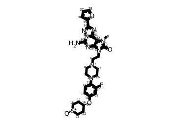 Cn1c(=O)n(CCN2CCN(c3ccc(O[C@H]4CC[S@+]([O-])CC4)cc3F)CC2)c2nc(N)n3nc(-c4ccco4)nc3c21